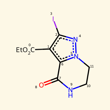 CCOC(=O)c1c(I)nn2c1C(=O)NCC2